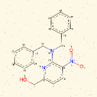 O=[N+]([O-])c1ccc(CO)nc1N(Cc1ccccc1)Cc1ccccc1